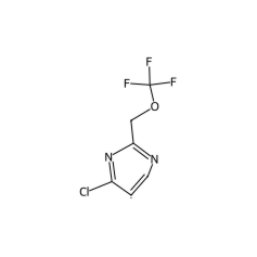 FC(F)(F)OCc1nc[c]c(Cl)n1